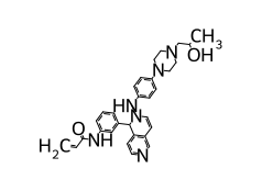 C=CC(=O)Nc1cccc(C2c3ccncc3C=CN2Nc2ccc(N3CCN(CC(C)O)CC3)cc2)c1